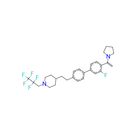 C=C(c1ccc(-c2ccc(CCC3CCN(CC(F)(F)C(F)(F)F)CC3)cc2)cc1F)N1CCCC1